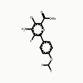 COC(=O)c1nc(-c2ccc(OC(F)F)cc2)c(F)c(N)c1Cl